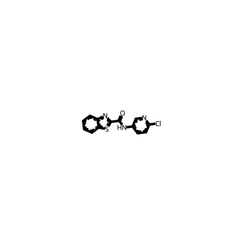 O=C(Nc1ccc(Cl)nc1)c1nc2ccccc2s1